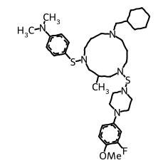 COc1ccc(N2CCN(SN3CCCN(CC4CCCCC4)CCCN(Sc4ccc(N(C)C)cc4)CC(C)C3)CC2)cc1F